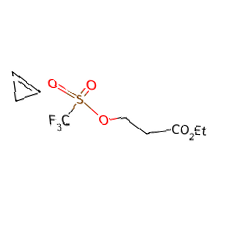 C1=CC1.CCOC(=O)CCOS(=O)(=O)C(F)(F)F